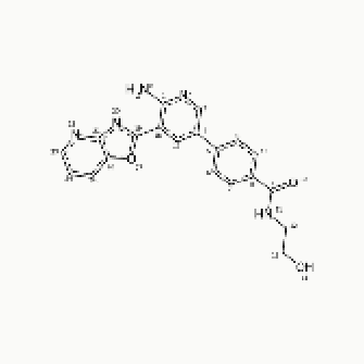 Nc1ncc(-c2ccc(C(=O)NCCO)cc2)cc1-c1nc2ncccc2o1